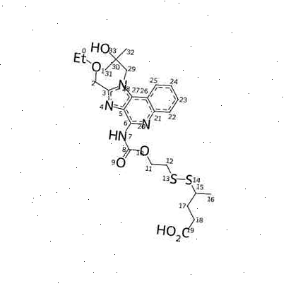 CCOCc1nc2c(NC(=O)OCCSSC(C)CCC(=O)O)nc3ccccc3c2n1CC(C)(C)O